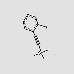 C[Si](C)(C)C#Cc1ccccc1I